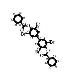 O=C(Oc1c(Br)cc(-c2cc(Br)c(OC(=O)c3ccccc3)c(Br)c2)cc1Br)c1ccccc1